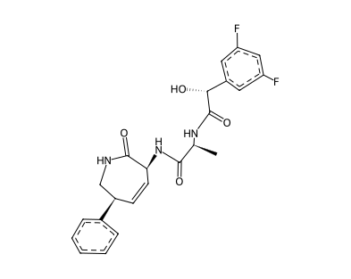 C[C@H](NC(=O)[C@H](O)c1cc(F)cc(F)c1)C(=O)N[C@H]1C=C[C@@H](c2ccccc2)CNC1=O